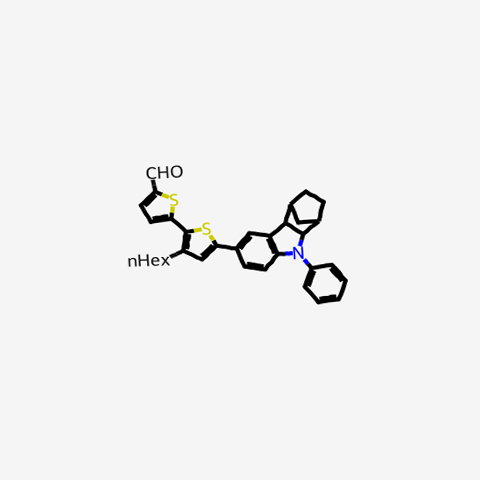 CCCCCCc1cc(-c2ccc3c(c2)C2C4CCC(C4)C2N3c2ccccc2)sc1-c1ccc(C=O)s1